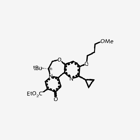 CCOC(=O)c1cn2c(cc1=O)-c1nc(C3CC3)c(OCCCOC)cc1OC[C@H]2C(C)(C)C